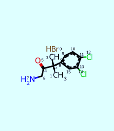 Br.CC(C)(C(=O)CN)c1ccc(Cl)c(Cl)c1